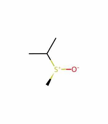 CC(C)[S@+](C)[O-]